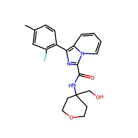 Cc1ccc(-c2nc(C(=O)NC3(CO)CCOCC3)n3ccccc23)c(F)c1